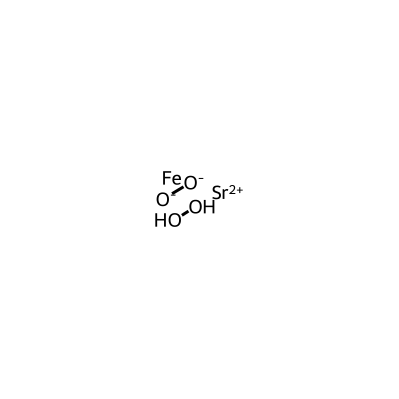 OO.[Fe].[O-][O-].[Sr+2]